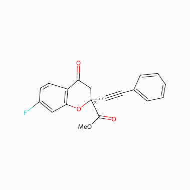 COC(=O)[C@]1(C#Cc2ccccc2)CC(=O)c2ccc(F)cc2O1